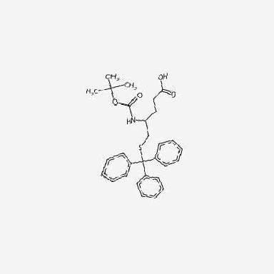 CC(C)(C)OC(=O)NC(CCC(=O)O)CSC(c1ccccc1)(c1ccccc1)c1ccccc1